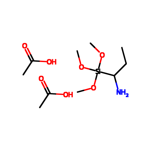 CC(=O)O.CC(=O)O.CCC(N)[Si](OC)(OC)OC